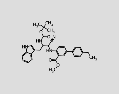 CCc1ccc(-c2ccc(NC(C#N)C(Cc3c[nH]c4ccccc34)NC(=O)OC(C)(C)C)c(C(=O)OC)c2)cc1